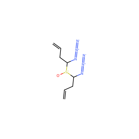 C=CCC(N=[N+]=[N-])[S+]([O-])C(CC=C)N=[N+]=[N-]